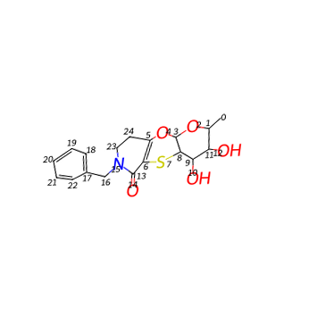 CC1OC2OC3=C(SC2C(O)C1O)C(=O)N(Cc1ccccc1)CC3